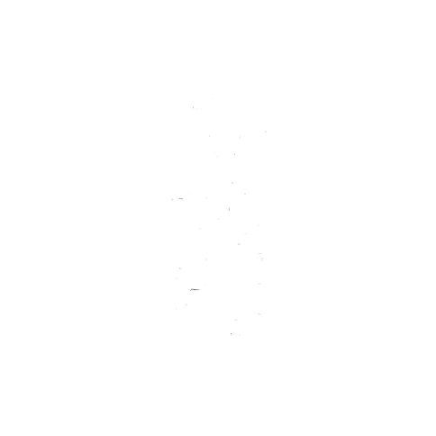 CCCCCc1cc(CN2C(=O)c3ccccc3C2=O)c(O)c2c1CC1CC3C(C(=O)C(C(N)=O)=C(O)[C@H]3N(C)C)C(O)=C1C2=O